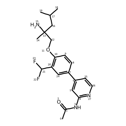 CC(=O)Nc1cc(-c2ccc(OCC(C)(N)CC(C)C)c(C(F)F)c2)ccn1